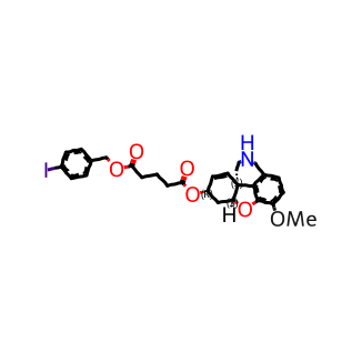 COc1ccc2c3c1O[C@H]1C[C@@H](OC(=O)CCCC(=O)OCc4ccc(I)cc4)C=C[C@@]31CCNC2